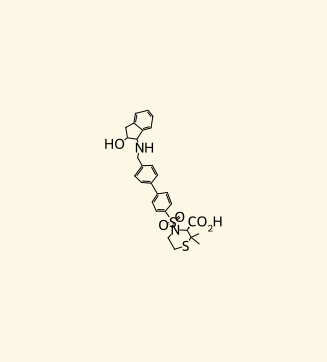 CC1(C)SCCN(S(=O)(=O)c2ccc(-c3ccc(CNC4c5ccccc5CC4O)cc3)cc2)[C@H]1C(=O)O